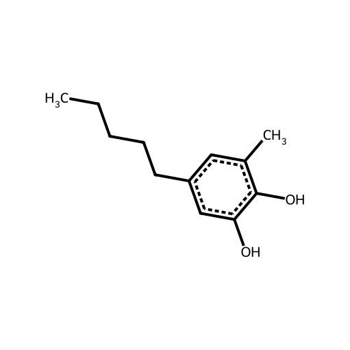 CCCCCc1cc(C)c(O)c(O)c1